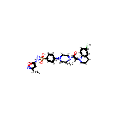 Cc1cc(NS(=O)(=O)c2ccc(N3CCN(C(=O)[C@H](C)N4CCCc5cc(F)ccc54)CC3)cc2)on1